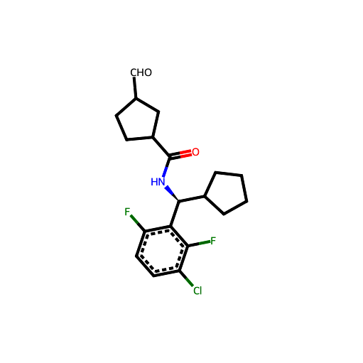 O=CC1CCC(C(=O)N[C@H](c2c(F)ccc(Cl)c2F)C2CCCC2)C1